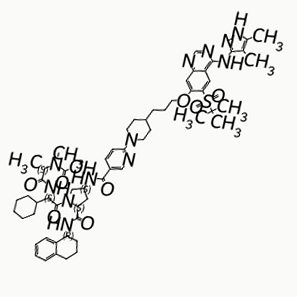 Cc1[nH]nc(Nc2ncnc3cc(OCCCC4CCN(c5ccc(C(=O)N[C@H]6C[C@@H](C(=O)N[C@@H]7CCCc8ccccc87)N(C(=O)[C@@H](NC(=O)[C@H](C)N(C)C(=O)O)C7CCCCC7)C6)cn5)CC4)c(S(=O)(=O)C(C)(C)C)cc23)c1C